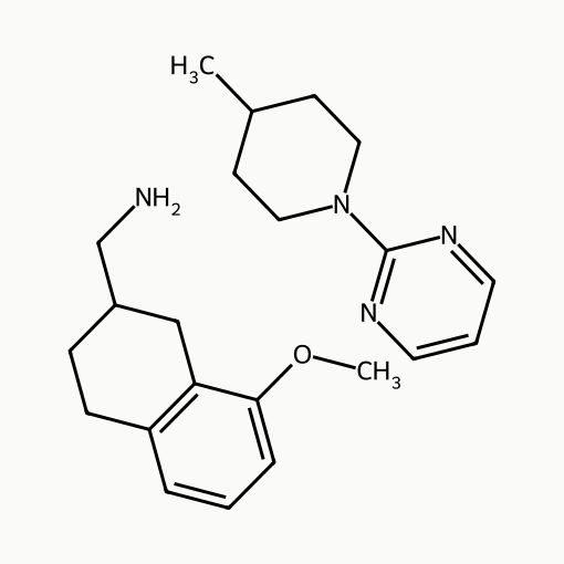 CC1CCN(c2ncccn2)CC1.COc1cccc2c1CC(CN)CC2